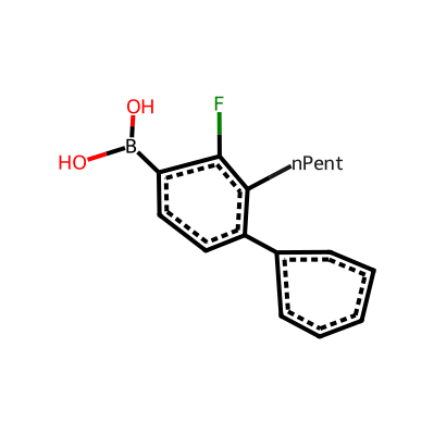 CCCCCc1c(-c2ccccc2)ccc(B(O)O)c1F